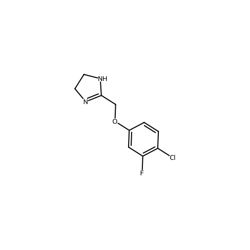 Fc1cc(OCC2=NCCN2)ccc1Cl